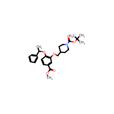 COC(=O)c1ccc(OC(C)c2ccccc2)c(OCC2CCN(C(=O)OC(C)(C)C)CC2)c1